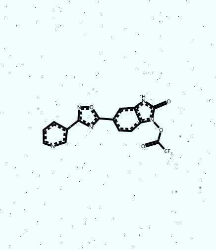 O=C(On1c(=O)[nH]c2cc(-c3nc(-c4cccnc4)no3)ccc21)C(F)(F)F